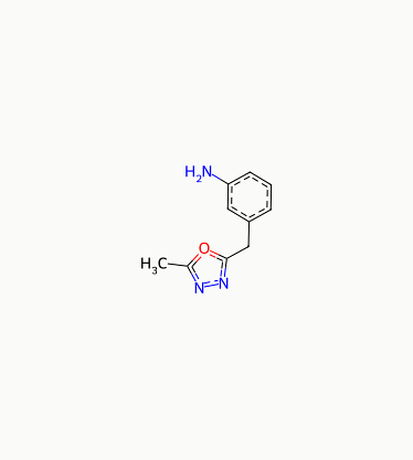 Cc1nnc(Cc2cccc(N)c2)o1